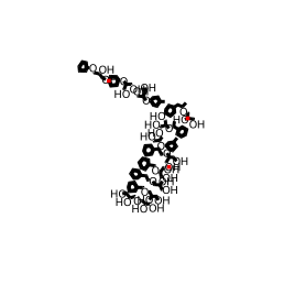 CC(Cc1ccccc1)OCC(O)CO.CC(OC(CO)CO)c1ccccc1.Cc1ccc(OC(CO)CO)cc1.Cc1cccc(OC(CO)CO)c1.OCC(CO)OCCc1ccccc1.OCC(CO)OCc1ccccc1.OCC(CO)Oc1ccccc1.OCC(O)COCC(O)CO.OCC(O)COCCc1ccccc1.OCC(O)COCc1ccccc1.OCC(O)COc1ccccc1